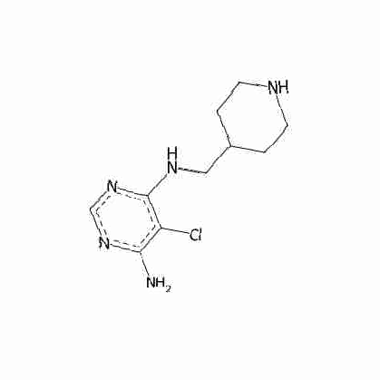 Nc1ncnc(NCC2CCNCC2)c1Cl